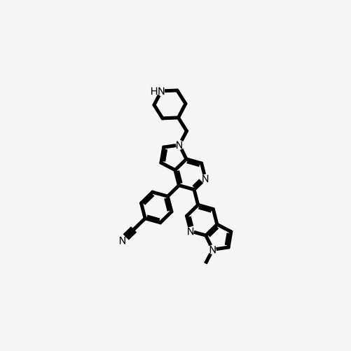 Cn1ccc2cc(-c3ncc4c(ccn4CC4CCNCC4)c3-c3ccc(C#N)cc3)cnc21